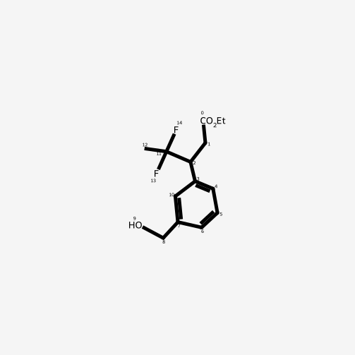 CCOC(=O)CC(c1cccc(CO)c1)C(C)(F)F